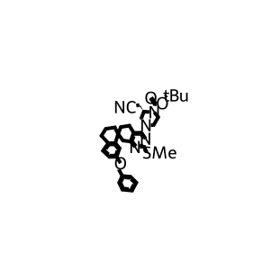 CSc1nc2c(c(N3CCN(C(=O)OC(C)(C)C)[C@@H](CC#N)C3)n1)CCC1(CCCc3ccc(OCc4ccccc4)cc31)C2